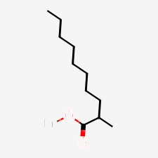 CCCCCCCCC(C)C(=O)OBr